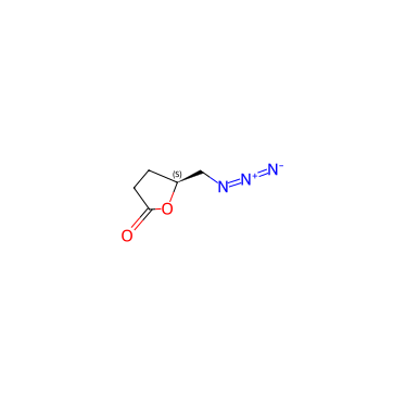 [N-]=[N+]=NC[C@@H]1CCC(=O)O1